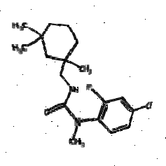 CN(C(=O)NCC1(C)CCCC(C)(C)C1)c1ccc(Cl)cc1F